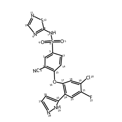 N#Cc1cc(S(=O)(=O)Nc2ncns2)ccc1Oc1cc(Cl)c(F)cc1-c1ccn[nH]1